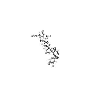 COc1cc(F)cc([C@@H](CO)NC(=O)[C@@H](C)N2Cc3ccc(-c4nc(NC5CCC(=O)N(C)C5)ncc4Cl)cc3C2=O)c1